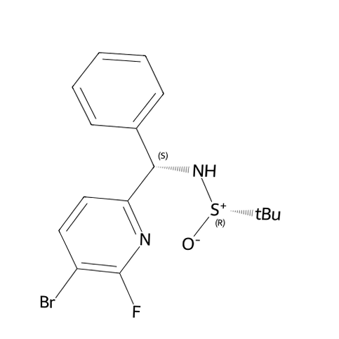 CC(C)(C)[S@+]([O-])N[C@@H](c1ccccc1)c1ccc(Br)c(F)n1